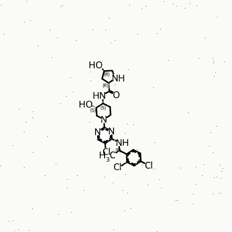 C[C@@H](Nc1nc(N2CC[C@H](NC(=O)[C@H]3C[C@@H](O)CN3)[C@@H](O)C2)ncc1Cl)c1ccc(Cl)cc1Cl